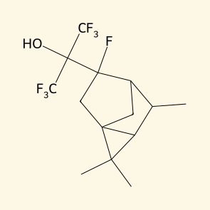 CC1C2CC3(CC2(F)C(O)(C(F)(F)F)C(F)(F)F)C1C3(C)C